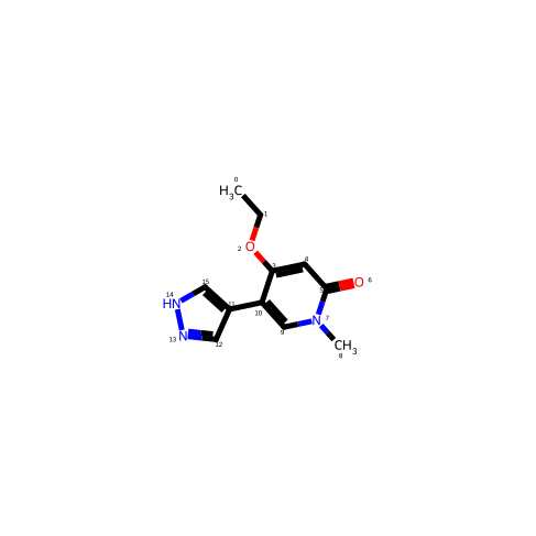 CCOc1cc(=O)n(C)cc1-c1cn[nH]c1